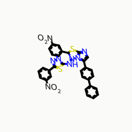 O=[N+]([O-])c1cccc(-c2nnc(NN3C(c4cccc([N+](=O)[O-])c4)Sc4ncc(-c5ccc(-c6ccccc6)cc5)n43)s2)c1